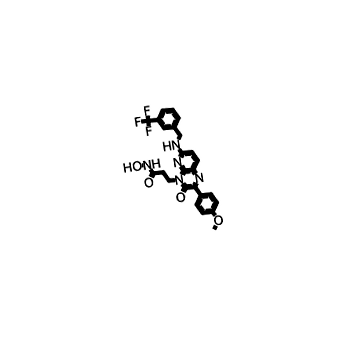 COc1ccc(-c2nc3ccc(NCc4cccc(C(F)(F)F)c4)nc3n(CCC(=O)NO)c2=O)cc1